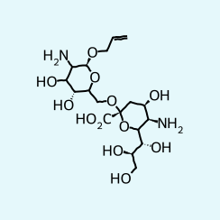 C=CCO[C@H]1OC(CO[C@]2(C(=O)O)C[C@@H](O)[C@@H](N)C([C@H](O)[C@H](O)CO)O2)[C@H](O)C(O)C1N